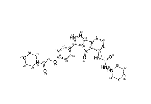 O=C(Nc1cccc2c1C(=O)c1c-2n[nH]c1-c1ccc(OCC(=O)N2CCOCC2)cc1)NN1CCOCC1